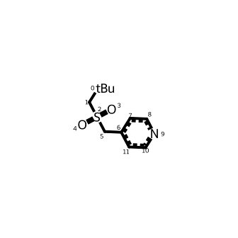 CC(C)(C)CS(=O)(=O)Cc1ccncc1